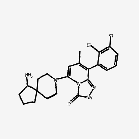 Cc1cc(N2CCC3(CCCC3N)CC2)n2c(=O)[nH]nc2c1-c1cccc(Cl)c1Cl